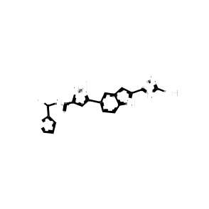 Cc1noc(-c2cc3cc(-c4cc(C(=O)NC(C)c5cccs5)nn4C)ccc3[nH]2)n1